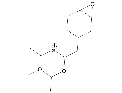 CC[SiH2]C(CC1CCC2OC2C1)OC(C)OC